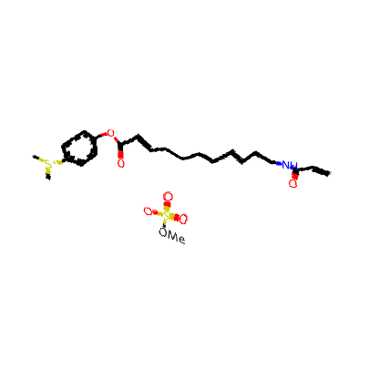 C=CC(=O)NCCCCCCCCC=CC(=O)Oc1ccc([S+](C)C)cc1.COS(=O)(=O)[O-]